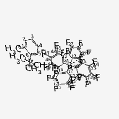 Cc1ccccc1[I+](C)(C)C.Fc1c(F)c(F)c([B-](c2c(F)c(F)c(F)c(F)c2F)(c2c(F)c(F)c(F)c(F)c2F)c2c(F)c(F)c(F)c(F)c2F)c(F)c1F